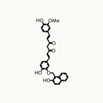 COc1cc(/C=C/C(=O)CC(=O)/C=C/c2ccc(O)c(OCc3c(O)ccc4ccccc34)c2)ccc1O